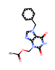 CC(C)(C)C(=O)OCn1c(=O)[nH]c(=O)c2c1ncn2Cc1ccccc1